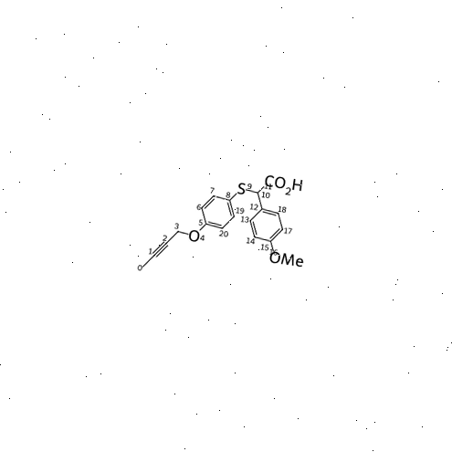 CC#CCOc1ccc(SC(C(=O)O)c2ccc(OC)cc2)cc1